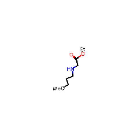 CCOC(=O)CNCCCOC